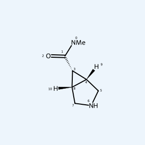 CNC(=O)[C@@H]1[C@@H]2CNC[C@@H]21